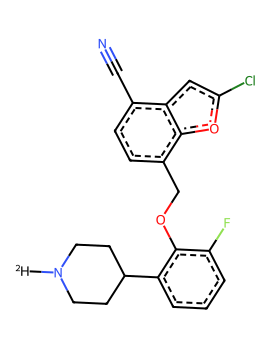 [2H]N1CCC(c2cccc(F)c2OCc2ccc(C#N)c3cc(Cl)oc23)CC1